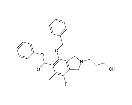 Cc1c(F)c2c(c(OCc3ccccc3)c1C(=O)Oc1ccccc1)CN(CCCO)C2